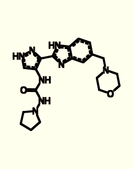 O=C(Nc1c[nH]nc1-c1nc2cc(CN3CCOCC3)ccc2[nH]1)NN1CCCC1